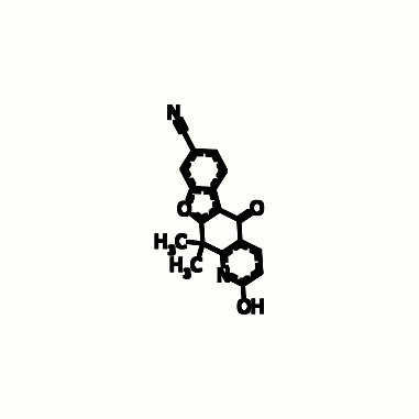 CC1(C)c2nc(O)ccc2C(=O)c2c1oc1cc(C#N)ccc21